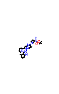 Cc1cn2nc(C3CCCCN3c3ncnc4cccc(C)c34)cc2nc1N1CC[C@@H](NC(=O)OC(C)(C)C)C1